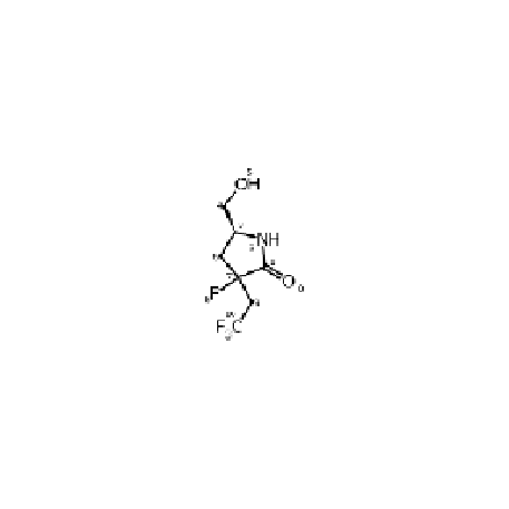 O=C1N[C@H](CO)CC1(F)CC(F)(F)F